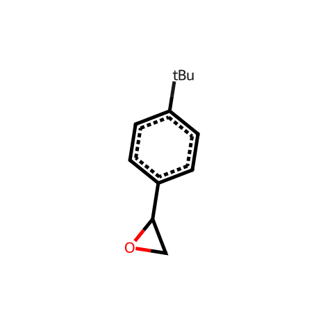 CC(C)(C)c1ccc(C2CO2)cc1